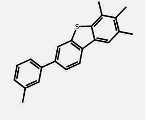 Cc1cccc(-c2ccc3c(c2)sc2c(C)c(C)c(C)cc23)c1